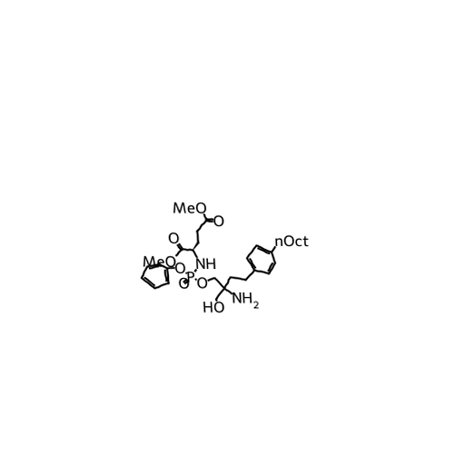 CCCCCCCCc1ccc(CCC(N)(CO)COP(=O)(N[C@H](CCC(=O)OC)C(=O)OC)Oc2ccccc2)cc1